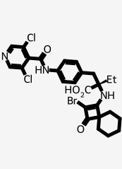 CC[C@@](Cc1ccc(NC(=O)c2c(Cl)cncc2Cl)cc1)(NC1=C(Br)C(=O)C12CCCCC2)C(=O)O